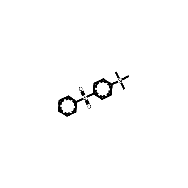 C[Si](C)(C)c1ccc(S(=O)(=O)c2ccccc2)cc1